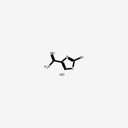 CCc1nc(C(=N)N)cs1.Cl